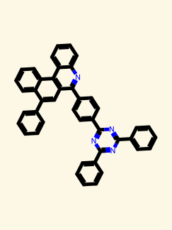 c1ccc(-c2nc(-c3ccccc3)nc(-c3ccc(-c4nc5ccccc5c5c4cc(-c4ccccc4)c4ccccc45)cc3)n2)cc1